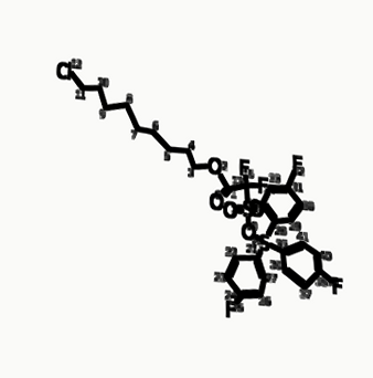 O=C(OCCCCCCCCCCl)C(F)(F)S(=O)(=O)OS(c1ccc(F)cc1)(c1ccc(F)cc1)c1ccc(F)cc1